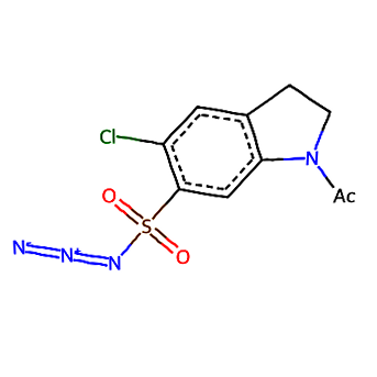 CC(=O)N1CCc2cc(Cl)c(S(=O)(=O)N=[N+]=[N-])cc21